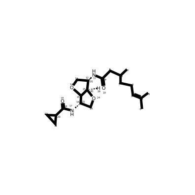 CC(C)=CCCC(C)CC(=O)N[C@H]1COC2[C@@H](NC(=O)C3CC3)CO[C@@H]21